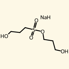 O=S(=O)(CCCO)OCCCO.[NaH]